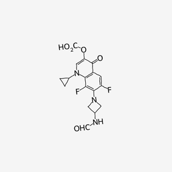 O=CNC1CN(c2c(F)cc3c(=O)c(OC(=O)O)cn(C4CC4)c3c2F)C1